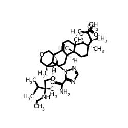 CCN[C@@](C)(CO[C@H]1[C@H](n2ncnc2C(N)=O)C[C@@]23COC[C@]1(C)[C@@H]2CC[C@H]1C3=CC[C@]2(C)[C@H](OC(=O)O)[C@@](C)([C@H](C)C(C)C)CC[C@]12C)C(C)C